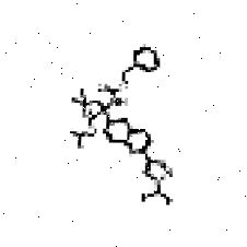 CC(C)OC(=O)C(CC(C)(C)C)(NC(=O)OCc1ccccc1)c1ccc2nc(-c3cnn(C(F)F)c3)ccc2c1